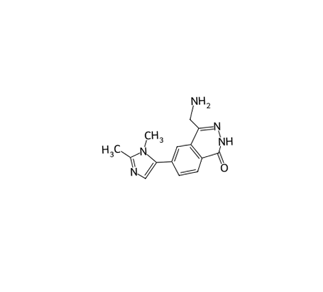 Cc1ncc(-c2ccc3c(=O)[nH]nc(CN)c3c2)n1C